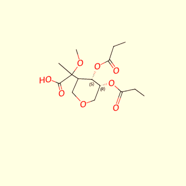 CCC(=O)O[C@@H]1COCC(C(C)(OC)C(=O)O)[C@@H]1OC(=O)CC